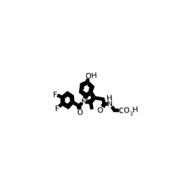 Cc1c(CC(=O)NCC(=O)O)c2cc(O)ccc2n1C(=O)c1ccc(F)c(F)c1